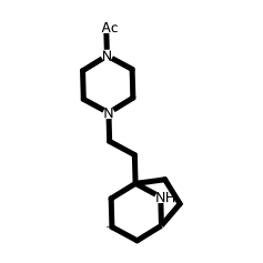 CC(=O)N1CCN(CCC23C[CH]CC(CC2)N3)CC1